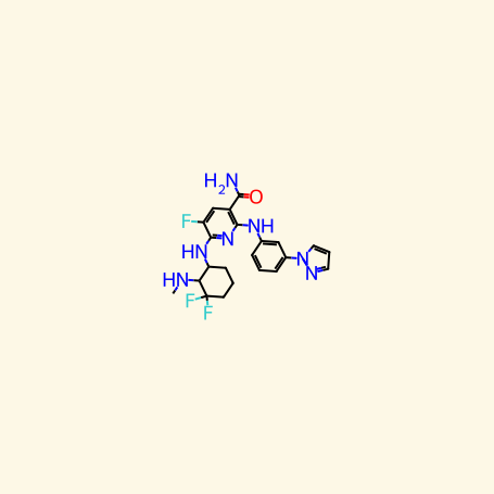 CNC1C(Nc2nc(Nc3cccc(-n4cccn4)c3)c(C(N)=O)cc2F)CCCC1(F)F